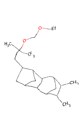 CCOCOC(C)(CC1CC2CC1C1C3CC(C(C)C3C)C21)C(F)(F)F